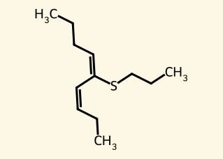 CC/C=C\C(=C/CCC)SCCC